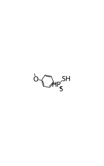 COc1ccc([PH](=S)S)cc1